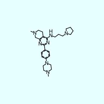 CN1CCN(c2ccc(-c3nc4c(c(NCCCN5CCCC5)n3)CCN(C)C4)cc2)CC1